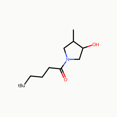 CC1CN(C(=O)CCCC(C)(C)C)CC1O